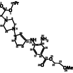 CCCOC(=O)CN1CCN(c2cccc(Nc3ccc(C(=O)OCCOC)cc3N)c2)CC1